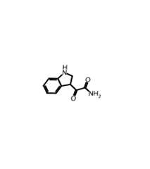 NC(=O)C(=O)C1CNc2ccccc21